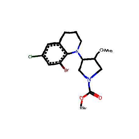 COC1CN(C(=O)OC(C)(C)C)CC1N1CCCc2cc(Cl)cc(Br)c21